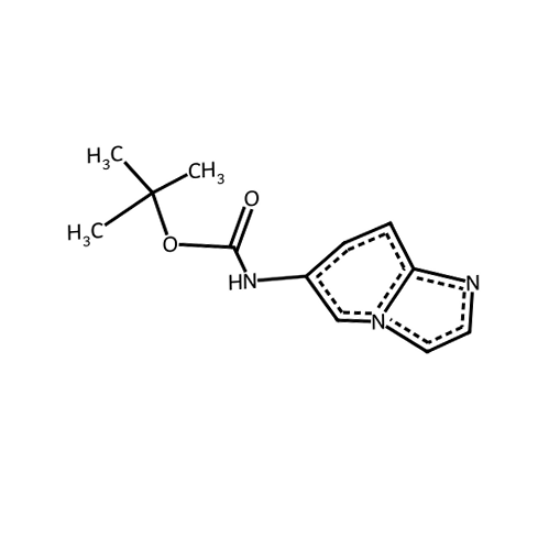 CC(C)(C)OC(=O)Nc1ccc2nccn2c1